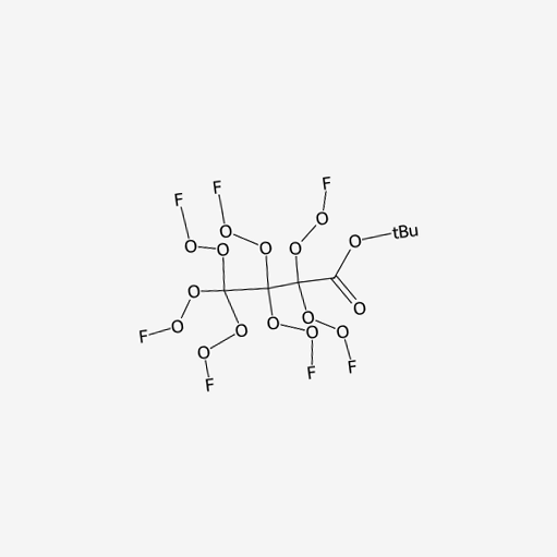 CC(C)(C)OC(=O)C(OOF)(OOF)C(OOF)(OOF)C(OOF)(OOF)OOF